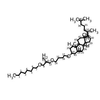 CCCCCCCCOC[C@@H](N)COCCCCOC1CC[C@@]2(C)C(=CC[C@H]3[C@@H]4CC[C@H]([C@H](C)CCCC(C)C)[C@@]4(C)CC[C@@H]32)C1